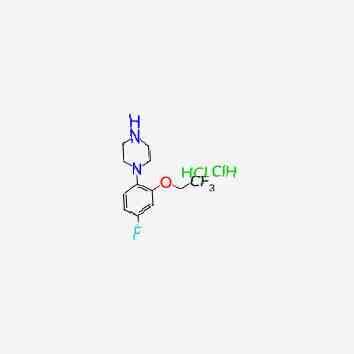 Cl.Cl.Fc1ccc(N2CCNCC2)c(OCC(F)(F)F)c1